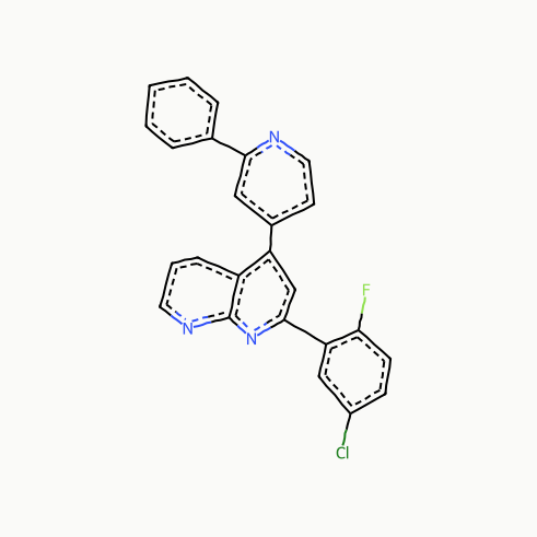 Fc1ccc(Cl)cc1-c1cc(-c2ccnc(-c3ccccc3)c2)c2cccnc2n1